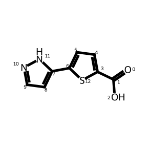 O=C(O)c1ccc(-c2ccn[nH]2)s1